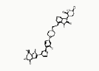 Cn1c(=O)n(C2CCC(=O)NC2=O)c2cccc(CCN3CCN(c4ccc(-c5cc(-c6cc7c([nH]6)C6(CC6)CNC7=O)ccn5)c(F)c4)CC3)c21